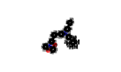 [2H]c1c([2H])c([2H])c(-c2ccc(N(c3ccc(-c4ccccc4)cc3)c3ccc(-c4cccc(-c5ccc6c(c5)Oc5cccc7c5N6c5ccccc5O7)c4)cc3)cc2)c([2H])c1[2H]